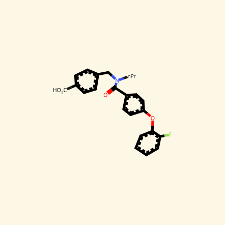 CCCN(Cc1ccc(C(=O)O)cc1)C(=O)c1ccc(Oc2ccccc2F)cc1